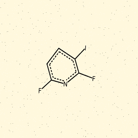 Fc1ccc(I)c(F)n1